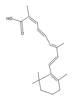 CC(C=CC1=C(C)CCCC1(C)C)=CC=CC=C(C)C(=O)O